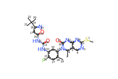 CSc1ncc2c(C)n(-c3cc(NC(=O)Nc4cc(C(C)(C)C)no4)c(F)cc3C)c(=O)nc2n1